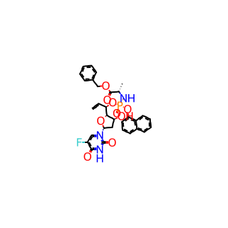 C=C[C@@H](O[P@@](=O)(N[C@@H](C)C(=O)OCc1ccccc1)Oc1cccc2ccccc12)[C@H]1O[C@@H](n2cc(F)c(=O)[nH]c2=O)C[C@@H]1O